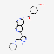 Cn1ncc(-c2cc3cc(NC(=O)[C@H]4CC[C@H](CO)CC4)ncc3cn2)c1CN1CCCCC1